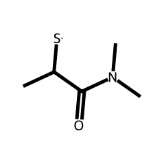 CC([S])C(=O)N(C)C